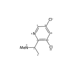 CNC(C)c1ncc(Cl)cc1Cl